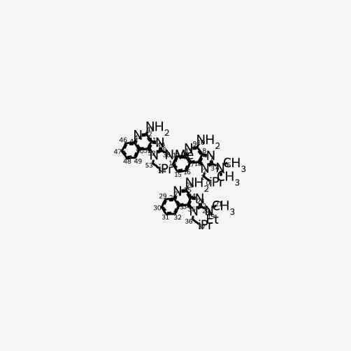 CC(C)Cn1c(N(C)C)nc2c(N)nc3ccccc3c21.CCN(C)c1nc2c(N)nc3ccccc3c2n1CC(C)C.CNc1nc2c(N)nc3ccccc3c2n1CC(C)C